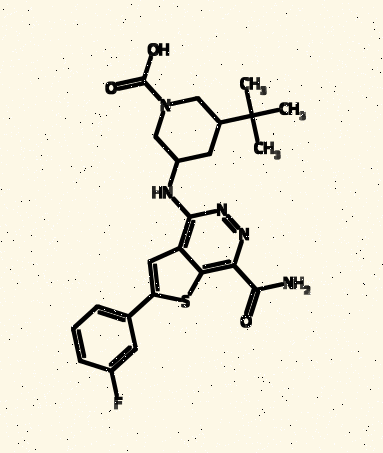 CC(C)(C)C1CC(Nc2nnc(C(N)=O)c3sc(-c4cccc(F)c4)cc23)CN(C(=O)O)C1